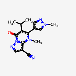 CC(C)c1c(-c2cnn(C)c2)n(C)c2c(C#N)cnn2c1=O